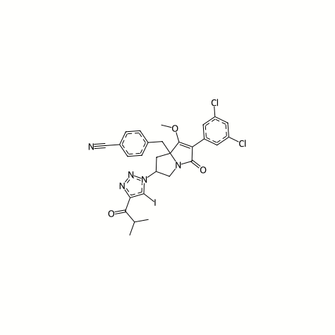 COC1=C(c2cc(Cl)cc(Cl)c2)C(=O)N2CC(n3nnc(C(=O)C(C)C)c3I)CC12Cc1ccc(C#N)cc1